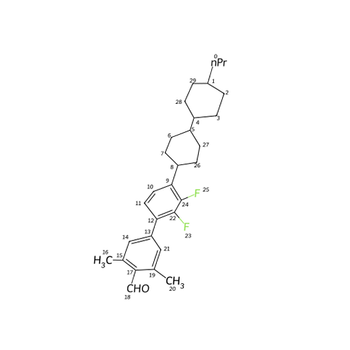 CCCC1CCC(C2CCC(c3ccc(-c4cc(C)c(C=O)c(C)c4)c(F)c3F)CC2)CC1